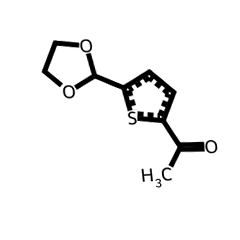 CC(=O)c1ccc(C2OCCO2)s1